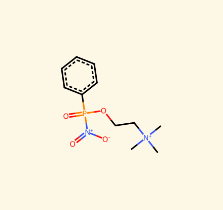 C[N+](C)(C)CCOP(=O)(c1ccccc1)[N+](=O)[O-]